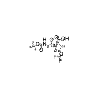 CC(C)(C)OC(=O)NCC(=O)N1C[C@H](OC(F)F)C[C@H]1C(=O)O